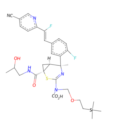 CC(O)CNC(=O)[C@]12C[C@H]1[C@@](C)(c1cc(/C=C(\F)c3ccc(C#N)cn3)ccc1F)N=C(N(COCC[Si](C)(C)C)C(=O)O)S2